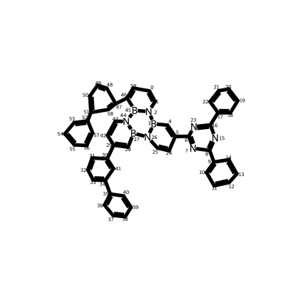 C1=CN2B3C=C(c4nc(-c5ccccc5)nc(-c5ccccc5)n4)C=CN3B3C=C(c4cccc(-c5ccccc5)c4)C=CN3B2C(c2cccc(-c3ccccc3)c2)=C1